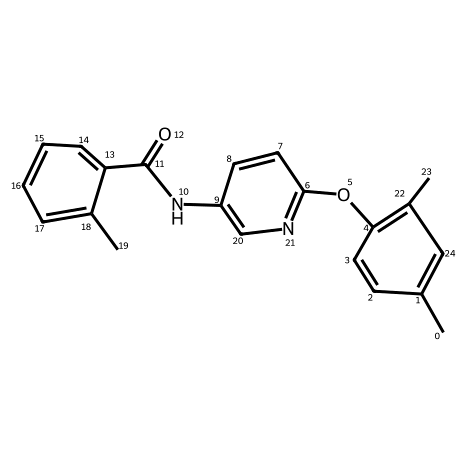 Cc1ccc(Oc2ccc(NC(=O)c3ccccc3C)cn2)c(C)c1